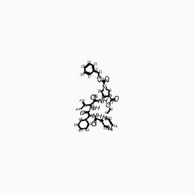 CCOC(=O)[C@@H]1CN(C(=O)OCc2ccccc2)C[C@@H]1NC(=O)C(NC(=O)[C@@H](NC(=O)c1cnccn1)C1CCCCC1)C(C)C